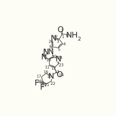 NC(=O)c1ccc(-n2nnc3cc(C(=O)N4CCC(F)(F)CC4)cnc32)cn1